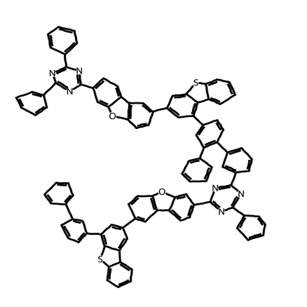 c1ccc(-c2cccc(-c3cc(-c4ccc5oc6cc(-c7nc(-c8ccccc8)nc(-c8cccc(-c9ccc(-c%10cc(-c%11ccc%12oc%13cc(-c%14nc(-c%15ccccc%15)nc(-c%15ccccc%15)n%14)ccc%13c%12c%11)cc%11sc%12ccccc%12c%10%11)cc9-c9ccccc9)c8)n7)ccc6c5c4)cc4c3sc3ccccc34)c2)cc1